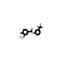 Cc1ccc(C(=O)Oc2cccc(C(F)(F)F)c2)cc1N